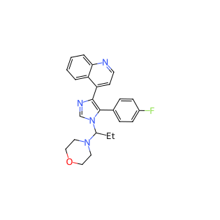 CCC(N1CCOCC1)n1cnc(-c2ccnc3ccccc23)c1-c1ccc(F)cc1